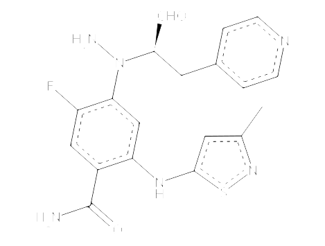 Cc1cc(Nc2cc(N(N)[C@@H](C=O)Cc3ccncc3)c(F)cc2C(N)=O)sn1